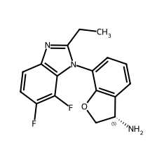 CCc1nc2ccc(F)c(F)c2n1-c1cccc2c1OC[C@H]2N